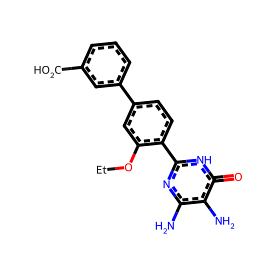 CCOc1cc(-c2cccc(C(=O)O)c2)ccc1-c1nc(N)c(N)c(=O)[nH]1